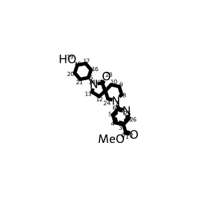 COC(=O)c1ccc(N2CCCC3(CCN([C@H]4CC[C@H](O)CC4)C3=O)C2)nc1